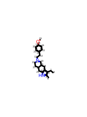 CCc1c(C)[nH]c2c1CC1CN(CCc3ccc(OC)cc3)CCC1C2